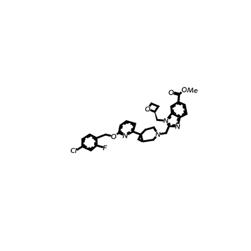 COC(=O)c1ccc2nc(CN3CCC4(c5cccc(OCc6ccc(Cl)cc6F)n5)CC4C3)n(C[C@@H]3CCO3)c2c1